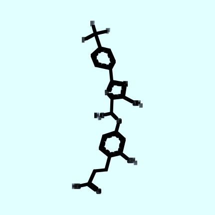 Cc1cc(OC(C)c2sc(-c3ccc(C(F)(F)F)cc3)nc2C)ccc1CCC(=O)O